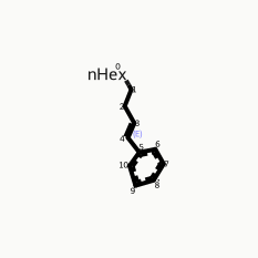 CCCCCCCC/C=C/c1cc[c]cc1